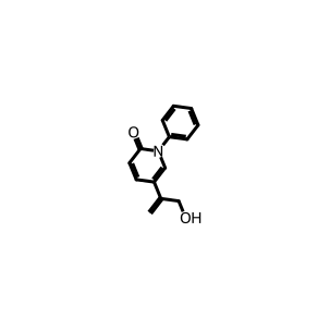 C=C(CO)c1ccc(=O)n(-c2ccccc2)c1